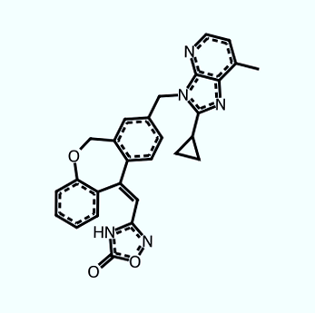 Cc1ccnc2c1nc(C1CC1)n2Cc1ccc2c(c1)COc1ccccc1/C2=C\c1noc(=O)[nH]1